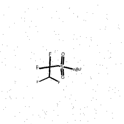 CCCCS(=O)(=O)C(F)(F)C(F)F